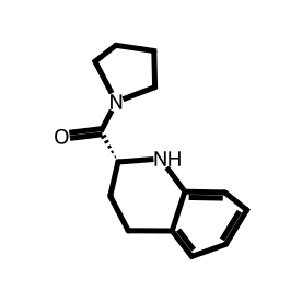 O=C([C@H]1CCc2ccccc2N1)N1CCCC1